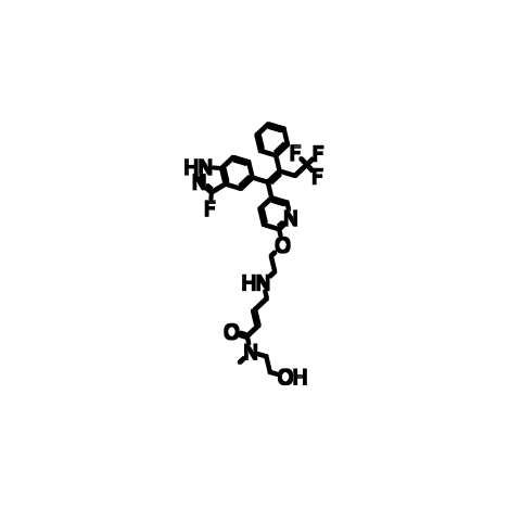 CN(CCO)C(=O)/C=C/CNCCOc1ccc(/C(=C(\CC(F)(F)F)c2ccccc2)c2ccc3[nH]nc(F)c3c2)cn1